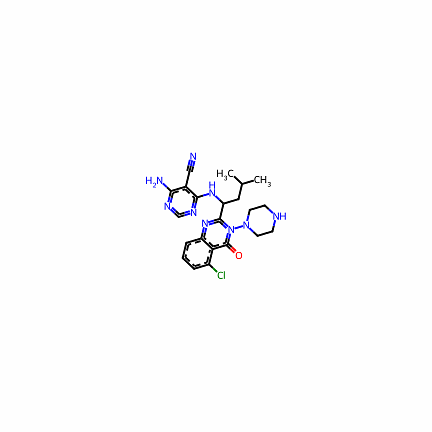 CC(C)CC(Nc1ncnc(N)c1C#N)c1nc2cccc(Cl)c2c(=O)n1N1CCNCC1